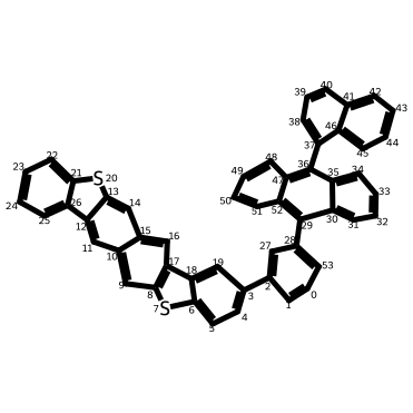 c1cc(-c2ccc3sc4cc5cc6c(cc5cc4c3c2)sc2ccccc26)cc(-c2c3ccccc3c(-c3cccc4ccccc34)c3ccccc23)c1